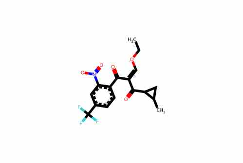 CCO/C=C(\C(=O)c1ccc(C(F)(F)F)cc1[N+](=O)[O-])C(=O)C1CC1C